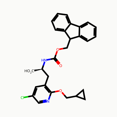 O=C(N[C@@H](Cc1cc(Cl)cnc1OCC1CC1)C(=O)O)OCC1c2ccccc2-c2ccccc21